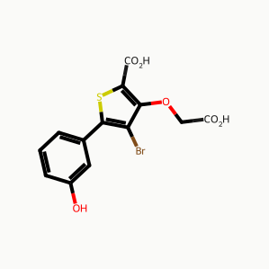 O=C(O)COc1c(C(=O)O)sc(-c2cccc(O)c2)c1Br